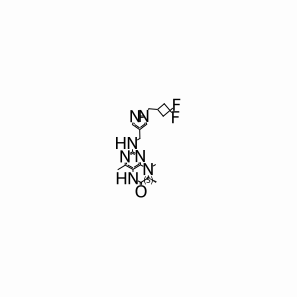 Cc1nc(NCc2cnn(CC3CC(F)(F)C3)c2)nc2c1NC(=O)[C@H](C)N2C